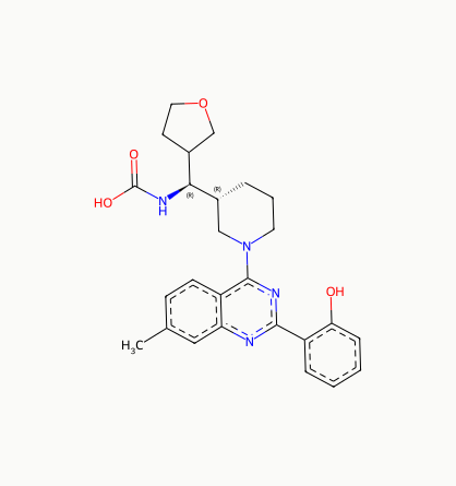 Cc1ccc2c(N3CCC[C@@H]([C@@H](NC(=O)O)C4CCOC4)C3)nc(-c3ccccc3O)nc2c1